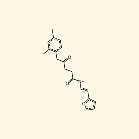 Cc1cc(I)ccc1CC(=O)CCC(=O)N/N=C/c1ccco1